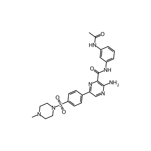 CC(=O)Nc1cccc(NC(=O)c2nc(-c3ccc(S(=O)(=O)N4CCN(C)CC4)cc3)cnc2N)c1